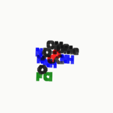 COCC(=O)c1c(OC)cc2ncnc(Nc3ccc(F)c(Cl)c3)c2c1OC1CCNCC1